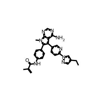 C=C(C)C(=O)Nc1ccc(-c2c(-c3ccc(-n4cc(CC)cn4)nc3)c3c(N)ncnc3n2C)cc1